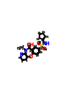 CCCN1c2ncccc2Oc2ccc(S(=O)(=O)NC3CCCC3)cc2C1O